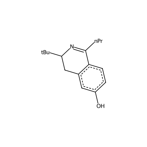 CCCC1=NC(C(C)(C)C)Cc2cc(O)ccc21